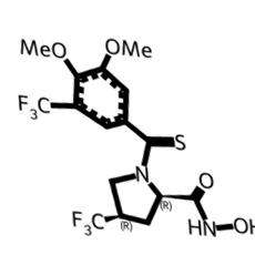 COc1cc(C(=S)N2C[C@H](C(F)(F)F)C[C@@H]2C(=O)NO)cc(C(F)(F)F)c1OC